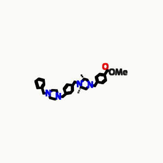 COC(=O)c1ccc(CN2C[C@@H](C)N(Cc3ccc(CN4CCN(Cc5ccccc5)CC4)cc3)[C@@H](C)C2)cc1